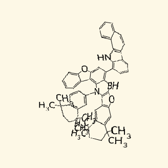 CC1(C)CCC(C)(C)c2cc(N3c4c(oc5cc6c(cc45)C(C)(C)CCC6(C)C)Bc4c(-c5cccc6c5[nH]c5c7ccccc7ccc65)cc5oc6ccccc6c5c43)ccc21